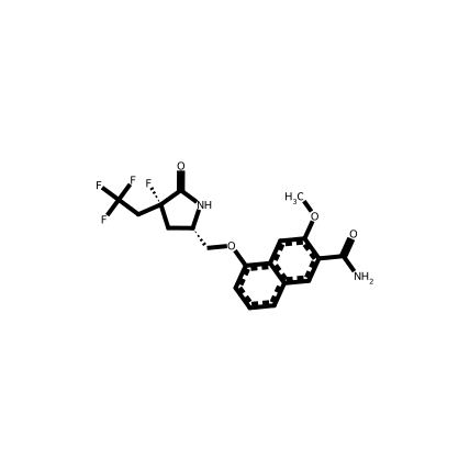 COc1cc2c(OC[C@@H]3C[C@@](F)(CC(F)(F)F)C(=O)N3)cccc2cc1C(N)=O